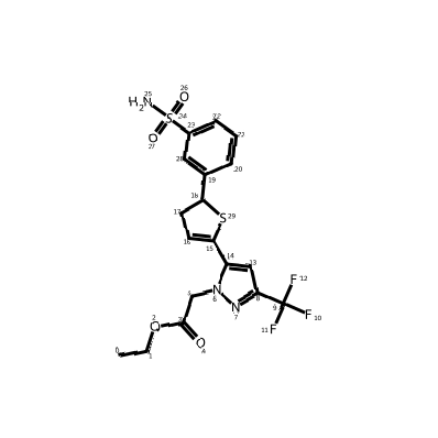 CCOC(=O)Cn1nc(C(F)(F)F)cc1C1=CCC(c2cccc(S(N)(=O)=O)c2)S1